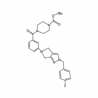 CC(C)(C)OC(=O)N1CCN(C(=O)c2cccc(N3Cc4cn(Cc5ccc(F)cc5)nc4C3)c2)CC1